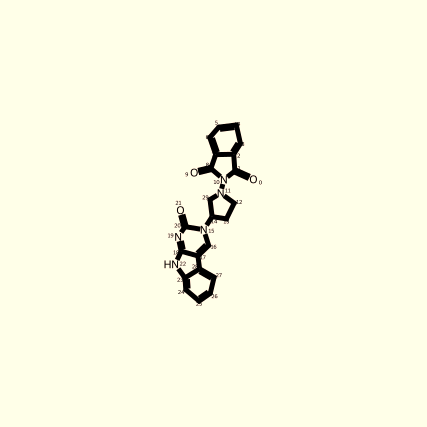 O=C1c2ccccc2C(=O)N1N1CCC(n2cc3c(nc2=O)[nH]c2ccccc23)C1